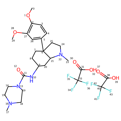 COc1ccc(C23CCC(NC(=O)N4CCN(C)CC4)CC2N(C)CC3)cc1OC.O=C(O)C(F)(F)F.O=C(O)C(F)(F)F